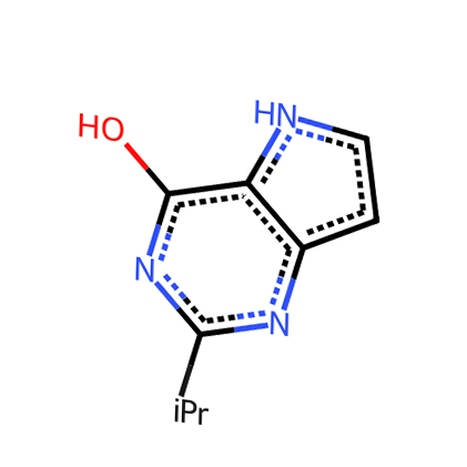 CC(C)c1nc(O)c2[nH]ccc2n1